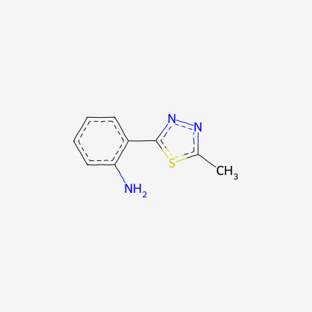 Cc1nnc(-c2ccccc2N)s1